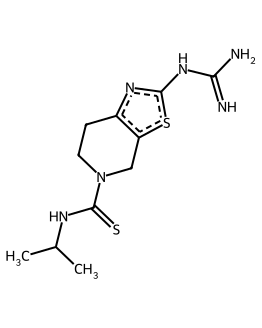 CC(C)NC(=S)N1CCc2nc(NC(=N)N)sc2C1